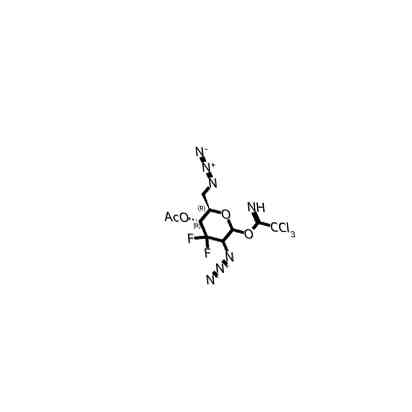 CC(=O)O[C@@H]1[C@@H](CN=[N+]=[N-])OC(OC(=N)C(Cl)(Cl)Cl)C(N=[N+]=[N-])C1(F)F